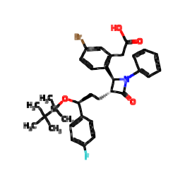 CC(C)(C)[Si](C)(C)O[C@@H](CC[C@H]1C(=O)N(c2ccccc2)[C@@H]1c1ccc(Br)cc1CC(=O)O)c1ccc(F)cc1